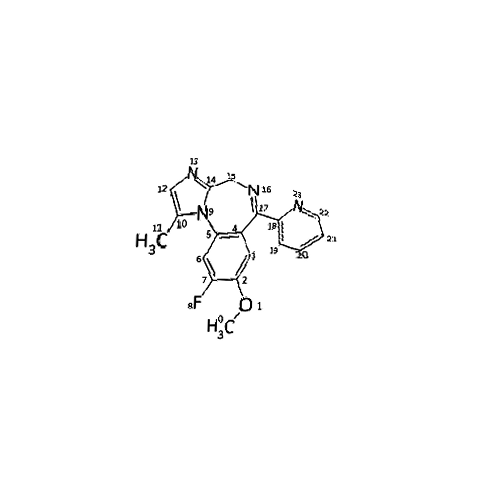 COc1cc2c(cc1F)-n1c(C)cnc1CN=C2c1ccccn1